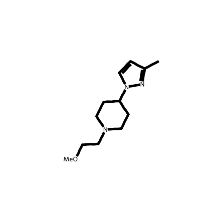 COCCN1CCC(n2ccc(C)n2)CC1